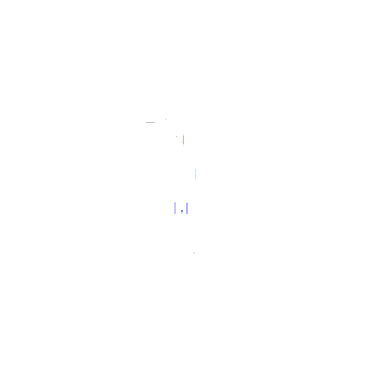 CN(c1ccccc1)c1cccc(NCC2CC2)c1F